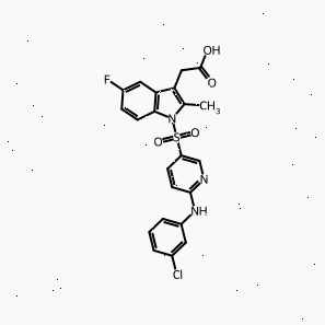 Cc1c(CC(=O)O)c2cc(F)ccc2n1S(=O)(=O)c1ccc(Nc2cccc(Cl)c2)nc1